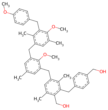 COc1ccc(Cc2c(C)c(Cc3cc(C)cc(Cc4cc(C)c(CO)c(Cc5ccc(CO)cc5)c4C)c3OC)cc(C)c2OC)cc1